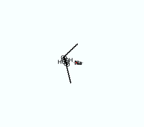 CCCCCCCCCCCCCCCCCC(=O)OC(=O)C(O)C(O)C(=O)OC(=O)CCCCCCCCCCCCCCCCC.[Na].[Na]